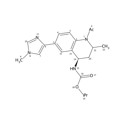 CC(=O)N1c2ccc(-c3cn(C)cn3)cc2[C@H](NC(=O)OC(C)C)CC1C